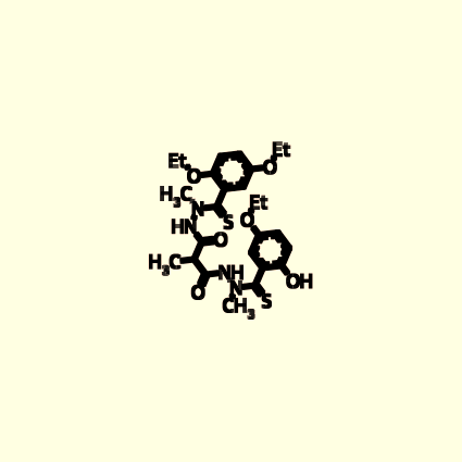 CCOc1ccc(O)c(C(=S)N(C)NC(=O)C(C)C(=O)NN(C)C(=S)c2cc(OCC)ccc2OCC)c1